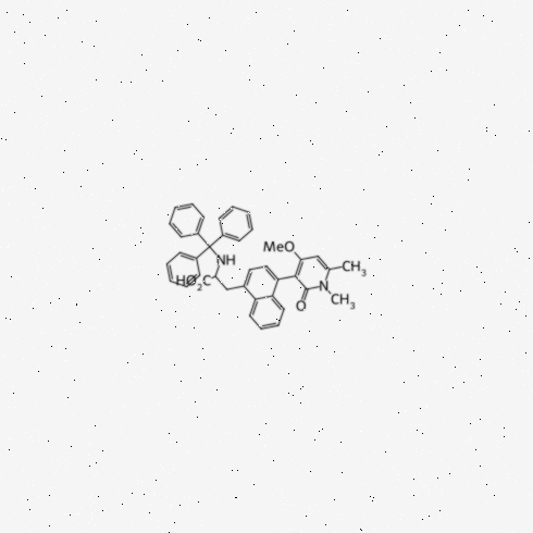 COc1cc(C)n(C)c(=O)c1-c1ccc(CC(NC(c2ccccc2)(c2ccccc2)c2ccccc2)C(=O)O)c2ccccc12